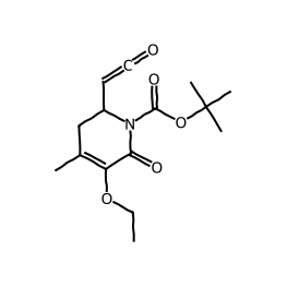 CCOC1=C(C)CC(C=C=O)N(C(=O)OC(C)(C)C)C1=O